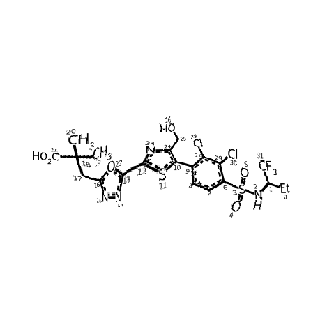 CCC(NS(=O)(=O)c1ccc(-c2sc(-c3nnc(CC(C)(C)C(=O)O)o3)nc2CO)c(Cl)c1Cl)C(F)(F)F